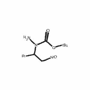 CC(C)C(CN=O)N(N)C(=O)OC(C)(C)C